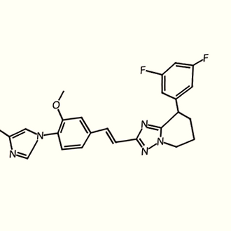 COc1cc(C=Cc2nc3n(n2)CCCC3c2cc(F)cc(F)c2)ccc1-n1cnc(C)c1